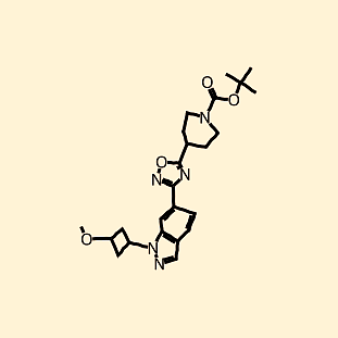 COC1CC(n2ncc3ccc(-c4noc(C5CCN(C(=O)OC(C)(C)C)CC5)n4)cc32)C1